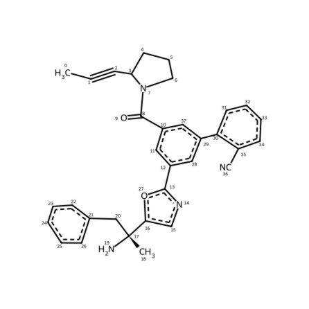 CC#CC1CCCN1C(=O)c1cc(-c2ncc([C@](C)(N)Cc3ccccc3)o2)cc(-c2ccccc2C#N)c1